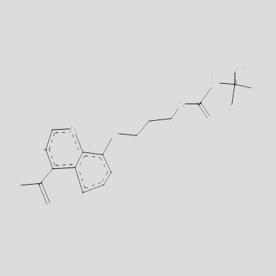 CC(C)(C)OC(=O)NCCCOc1cccc2c(C(=O)O)ccnc12